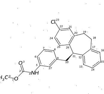 COC(=O)Nc1cccc(C[C@@H]2c3ccccc3CCc3cc(Cl)ccc32)c1